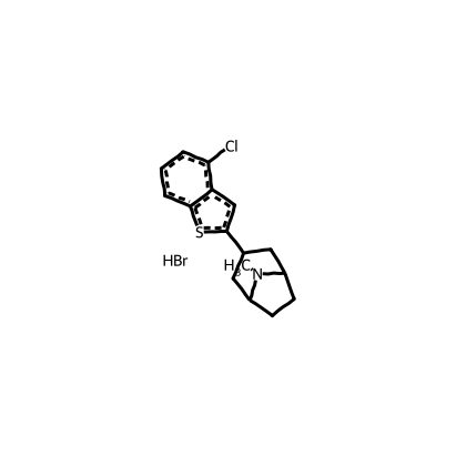 Br.CN1C2CCC1CC(c1cc3c(Cl)cccc3s1)C2